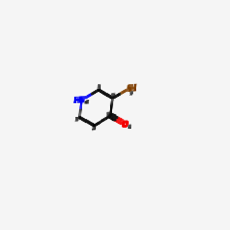 O=C1CCNCC1S